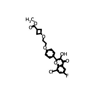 COC(=O)C1CC(OCCOc2ccc(-c3oc4c(Cl)cc(F)cc4c(=O)c3O)cc2)C1